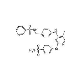 Cc1cnc(Nc2ccc(S(N)(=O)=O)cc2)nc1Nc1ccc(CNS(=O)(=O)c2cccnc2)cc1